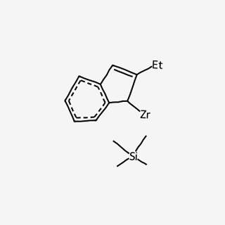 CCC1=Cc2ccccc2[CH]1[Zr].C[Si](C)(C)C